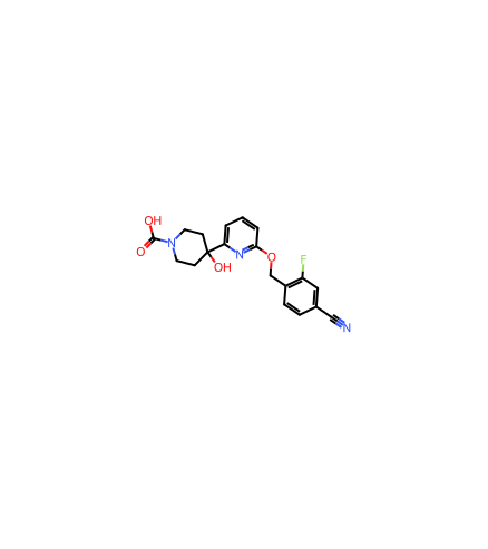 N#Cc1ccc(COc2cccc(C3(O)CCN(C(=O)O)CC3)n2)c(F)c1